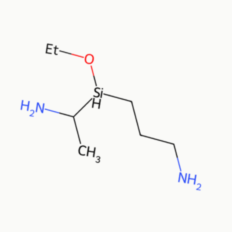 CCO[SiH](CCCN)C(C)N